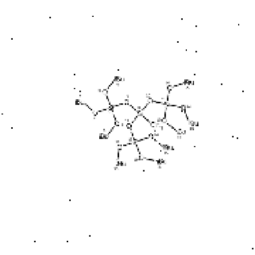 CCC(C)O[Si](OC(C)CC)(OC(C)CC)O[Si](C)(O[Si](OC(C)CC)(OC(C)CC)OC(C)CC)O[Si](OC(C)CC)(OC(C)CC)OC(C)CC